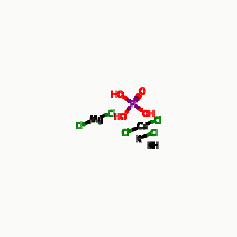 O=P(O)(O)O.[Cl][Ca][Cl].[Cl][K].[Cl][Mg][Cl].[KH]